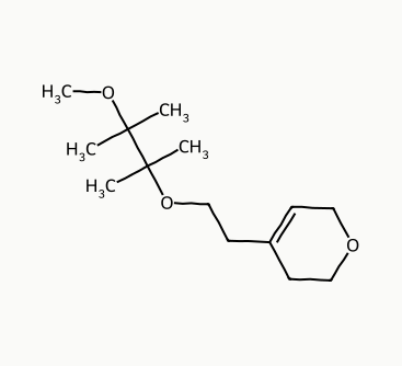 COC(C)(C)C(C)(C)OCCC1=CCOCC1